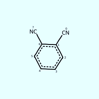 N#Cc1[c]cc[c]c1C#N